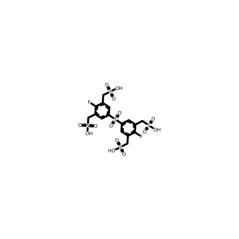 O=S(=O)(O)Cc1cc(S(=O)(=O)c2cc(CS(=O)(=O)O)c(F)c(CS(=O)(=O)O)c2)cc(CS(=O)(=O)O)c1F